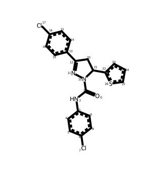 O=C(Nc1ccc(Cl)cc1)N1N=C(c2ccc(Cl)cc2)CC1c1cccs1